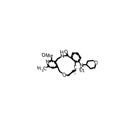 CCN(c1cccc2c1C/C=C/COCc1cc(C)nc(OC)c1CNC2=O)C1CCOCC1